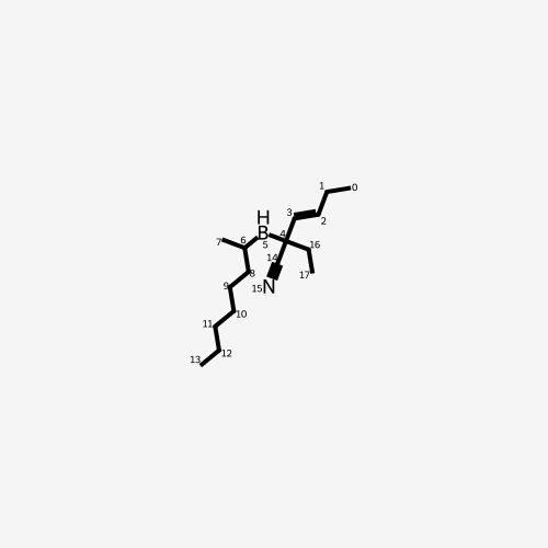 CCC=CC(BC(C)CCCCCC)(C#N)CC